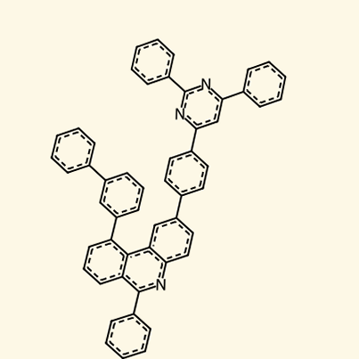 c1ccc(-c2cccc(-c3cccc4c(-c5ccccc5)nc5ccc(-c6ccc(-c7cc(-c8ccccc8)nc(-c8ccccc8)n7)cc6)cc5c34)c2)cc1